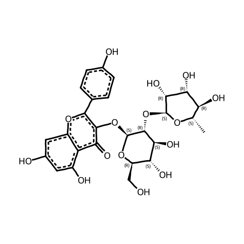 C[C@@H]1O[C@@H](O[C@H]2[C@H](Oc3c(-c4ccc(O)cc4)oc4cc(O)cc(O)c4c3=O)O[C@H](CO)[C@@H](O)[C@@H]2O)[C@H](O)[C@H](O)[C@H]1O